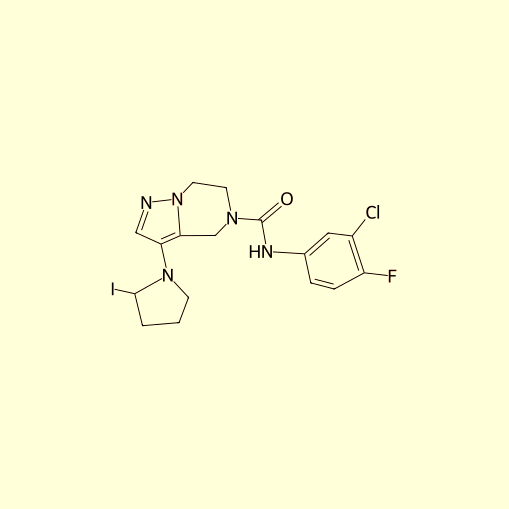 O=C(Nc1ccc(F)c(Cl)c1)N1CCn2ncc(N3CCCC3I)c2C1